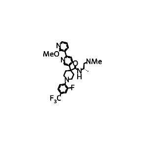 CNC[C@H](C)NC(=O)C1(c2ccc(-c3cccnc3OC)nc2)CCN(c2ccc(C(F)(F)F)cc2F)CC1